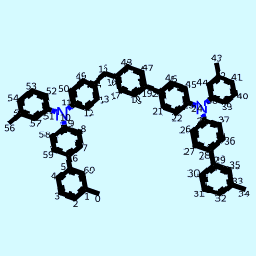 Cc1cccc(-c2ccc(N(c3ccc(Cc4ccc(-c5ccc(N(c6ccc(-c7cccc(C)c7)cc6)c6cccc(C)c6)cc5)cc4)cc3)c3cccc(C)c3)cc2)c1